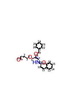 O=C=CCOC/C(=C\NC1C=Cc2ccccc2O1)OCc1ccccc1